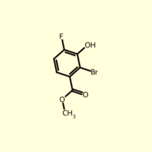 COC(=O)c1ccc(F)c(O)c1Br